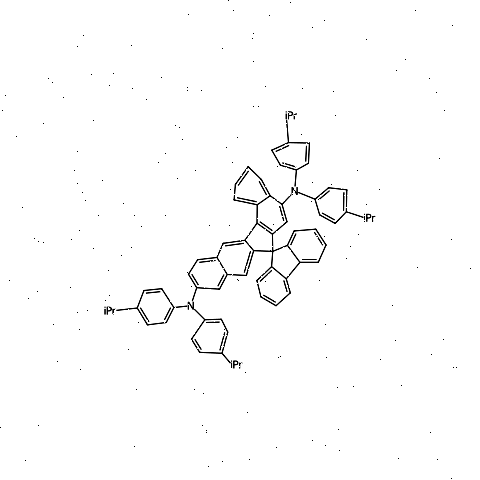 CC(C)c1ccc(N(c2ccc(C(C)C)cc2)c2ccc3cc4c(cc3c2)C2(c3ccccc3-c3ccccc32)c2cc(N(c3ccc(C(C)C)cc3)c3ccc(C(C)C)cc3)c3ccccc3c2-4)cc1